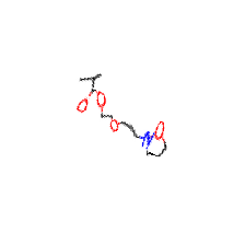 C=C(C)C(=O)OCCOCCN1CCCO1